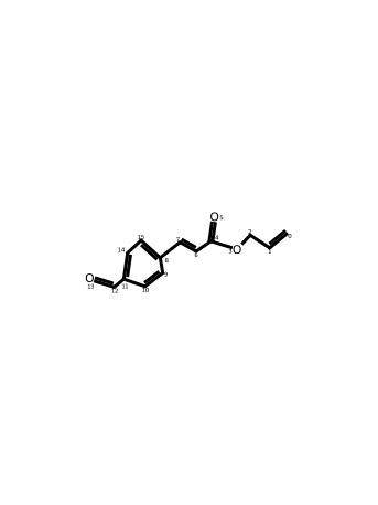 C=CCOC(=O)/C=C/c1ccc(C=O)cc1